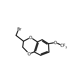 FC(F)(F)Oc1ccc2c(c1)OC(CBr)CO2